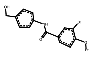 CCOc1ccc(C(=O)Nc2ccc(CO)cc2)cc1Br